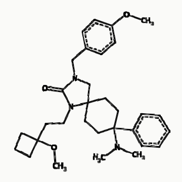 COc1ccc(CN2CC3(CCC(c4ccccc4)(N(C)C)CC3)N(CCC3(OC)CCC3)C2=O)cc1